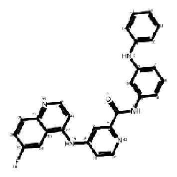 O=C(Nc1cccc(Nc2ccccc2)c1)c1cc(Nc2ccnc3ccc(F)cc23)ccn1